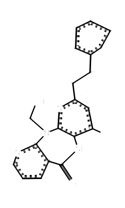 CCN1c2ncccc2C(=O)Nc2c(C)cc(CCc3ccccc3)nc21